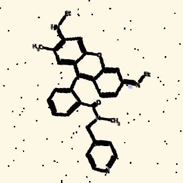 CC/N=c1/ccc2c(-c3ccccc3C(=O)N(C)Cc3ccncc3)c3cc(C)c(NCC)cc3oc-2c1